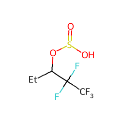 CCC(OS(=O)O)C(F)(F)C(F)(F)F